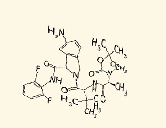 C[C@@H](C(=O)NC(C(=O)N1Cc2ccc(N)cc2[C@H]1C(=O)Nc1c(F)cccc1F)C(C)(C)C)N(C)C(=O)OC(C)(C)C